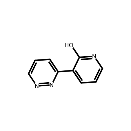 Oc1ncccc1-c1cccnn1